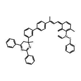 C=CN(Sc1ccccc1)c1c(C)cc/c(=C/C=C(\C)c2ccc(-c3cccc(C4(C)CC(c5ccccc5)=NC(c5ccccc5)=N4)c3)cc2)c1=C